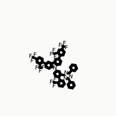 FC(F)(F)c1ccc(-c2ccc3c(c2)c2cc(-c4ccc(C(F)(F)F)cc4C(F)(F)F)ccc2n3-c2ccc(-c3ccccc3C(F)(F)F)c(-c3nc(-c4ccccc4)nc(-c4ccccc4)n3)c2)c(C(F)(F)F)c1